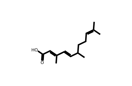 CC(C)=CCCC(C)/C=C/C(C)=C/C(=O)O